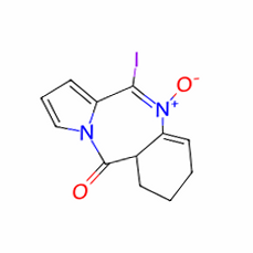 O=C1C2CCCC=C2[N+]([O-])=C(I)c2cccn21